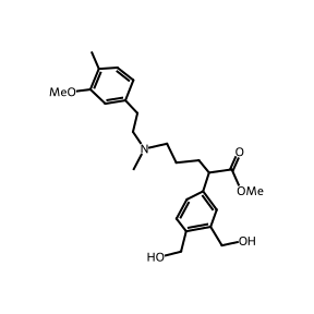 COC(=O)C(CCCN(C)CCc1ccc(C)c(OC)c1)c1ccc(CO)c(CO)c1